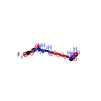 NC(=O)c1cc(-c2cn(CCCCNC(=O)CCOCCOCCOCCOCCNc3cccc4c3C(=O)N(C3CCC(=O)NC3=O)C4=O)cn2)cnc1OC1CCN(C(=O)Cc2ccc(OC(F)(F)F)cc2)CC1